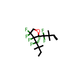 C=CC(C)(C)C(F)(F)C1(F)OCC(F)(F)C1(F)C(F)(F)C(C)(C)CC